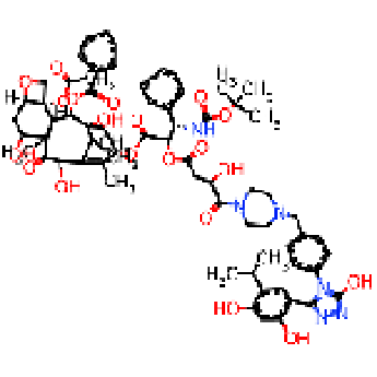 CC(=O)O[C@@]12CO[C@@H]1C[C@H](O)[C@@]1(C)C(=O)[C@H](O)C3=C(C)[C@@H](OC(=O)[C@H](OC(=O)C[C@@H](O)C(=O)N4CCN(Cc5ccc(-n6c(O)nnc6-c6cc(C(C)C)c(O)cc6O)cc5)CC4)[C@@H](NC(=O)OC(C)(C)C)c4ccccc4)CC(O)([C@@H](OC(=O)c4ccccc4)[C@H]21)C3(C)C